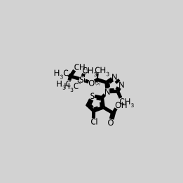 Cc1nnc([C@H](C)O[Si](C)(C)C(C)(C)C)n1-c1scc(Cl)c1C(=O)O